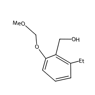 CCc1cccc(OCOC)c1CO